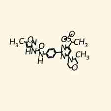 CC(c1cc(N2CCOC[C@@H]2C)nc(-c2ccc(NC(=O)Nc3cc(C)on3)cc2)n1)=S(=O)=O